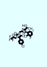 C[C@H](O)c1nc(Cn2c(Cl)c(-c3ccc(Cl)cc3)n(C[C@H](O)C(F)(F)F)c2=O)nn1-c1cccc(F)c1Cl